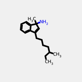 CCC(C)CCCCC1=CC(C)(N)c2ccccc21